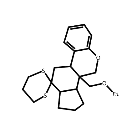 CCOCC12COc3ccccc3C1CC1(SCCCS1)C1CCCC12